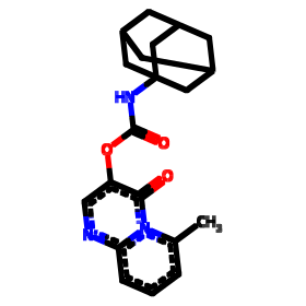 Cc1cccc2ncc(OC(=O)NC34CC5CC(CC(C5)C3)C4)c(=O)n12